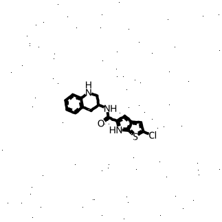 O=C(NC1CNc2ccccc2C1)c1cc2cc(Cl)sc2[nH]1